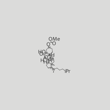 COC(=O)O[C@H]1CC[C@@]23[C@@H](C)O[C@@H](C(=O)[C@@]2(O)C1)[C@H]1[C@@H]2CC[C@H]([C@H](C)CCCC(C)C)[C@@]2(C)CC[C@@H]13